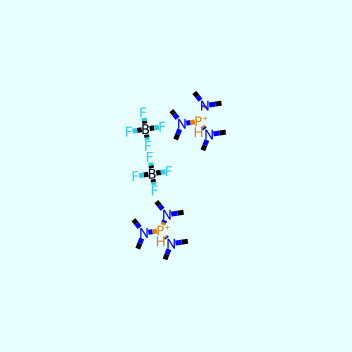 CN(C)[PH+](N(C)C)N(C)C.CN(C)[PH+](N(C)C)N(C)C.F[B-](F)(F)F.F[B-](F)(F)F